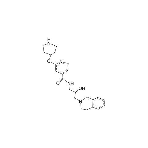 O=C(NCC(O)CN1CCc2ccccc2C1)c1ccnc(OC2CCNCC2)c1